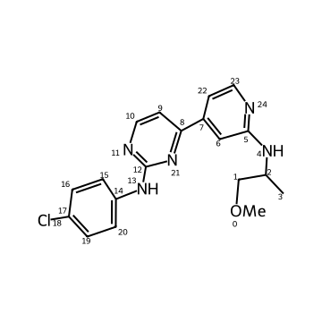 COCC(C)Nc1cc(-c2ccnc(Nc3ccc(Cl)cc3)n2)ccn1